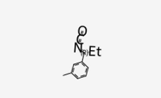 CC[C@@H](N=C=O)c1cccc(C)c1